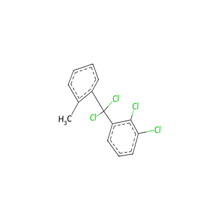 Cc1ccccc1C(Cl)(Cl)c1cccc(Cl)c1Cl